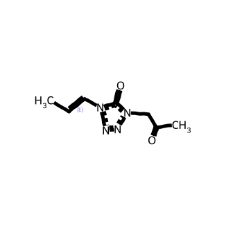 C/C=C/n1nnn(CC(C)=O)c1=O